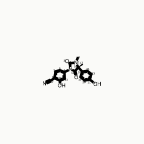 CN1C(=O)N(c2ccc(C#N)c(O)c2)C(=O)[C@@]1(C)c1ccc(O)cc1